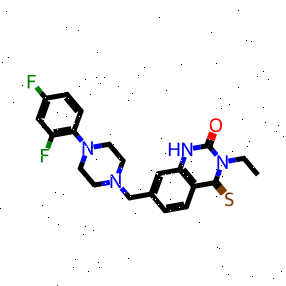 CCn1c(=O)[nH]c2cc(CN3CCN(c4ccc(F)cc4F)CC3)ccc2c1=S